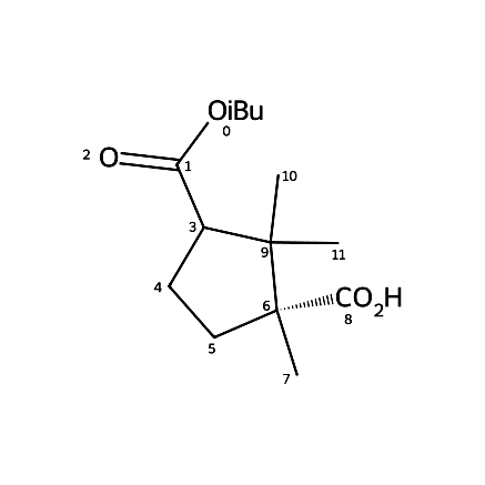 CC(C)COC(=O)C1CC[C@@](C)(C(=O)O)C1(C)C